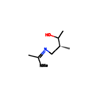 CN/C(C)=N\C[C@@H](C)C(C)O